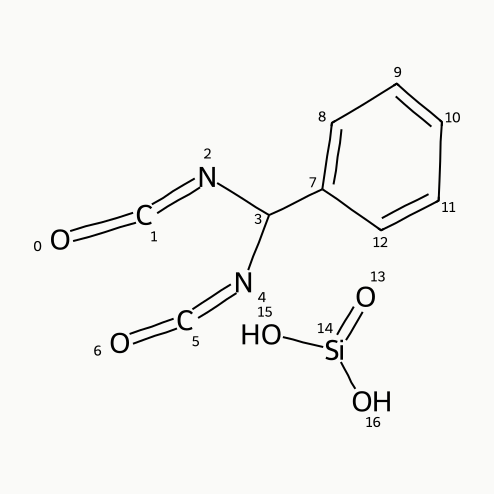 O=C=NC(N=C=O)c1ccccc1.O=[Si](O)O